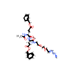 CC(=O)N[C@H](CCC(=O)OCc1ccccc1)C(=O)N[C@@H](CCC(=O)OCc1ccccc1)C(=O)NCCOCCOCCN=[N+]=[N-]